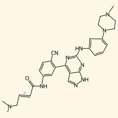 CN(C)C/C=C/C(=O)Nc1ccc(C#N)c(-c2nc(Nc3cccc(N4CCN(C)CC4)c3)nc3[nH]ncc23)c1